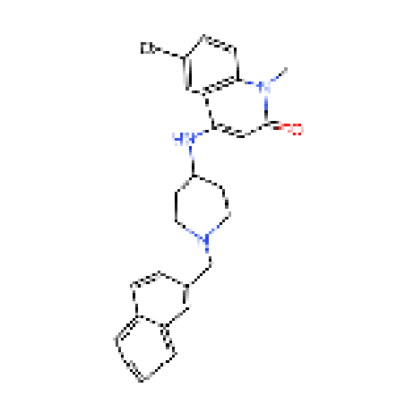 CCc1ccc2c(c1)c(NC1CCN(Cc3ccc4ccccc4c3)CC1)cc(=O)n2C